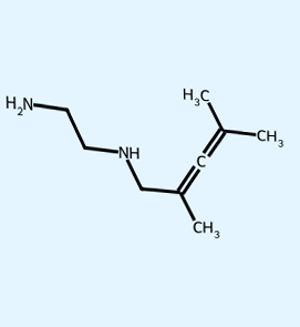 CC(C)=C=C(C)CNCCN